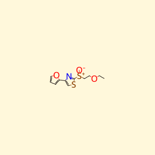 CCOCC[S+]([O-])c1nc(-c2ccco2)cs1